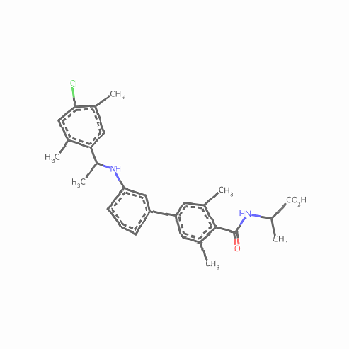 Cc1cc(C(C)Nc2cccc(-c3cc(C)c(C(=O)NC(C)C(=O)O)c(C)c3)c2)c(C)cc1Cl